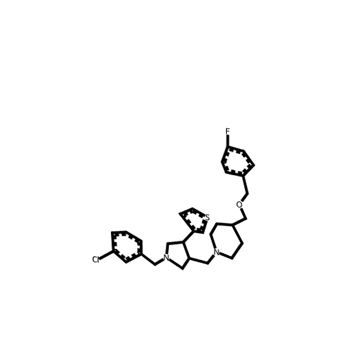 Fc1ccc(COCC2CCN(CC3CN(Cc4cccc(Cl)c4)CC3c3ccsc3)CC2)cc1